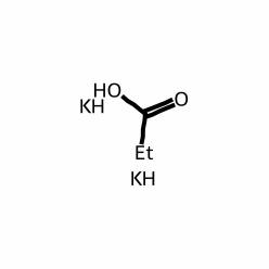 CCC(=O)O.[KH].[KH]